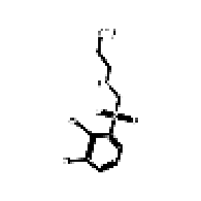 O=C(O)CCNCS(=O)(=O)c1cccc(Cl)c1Cl